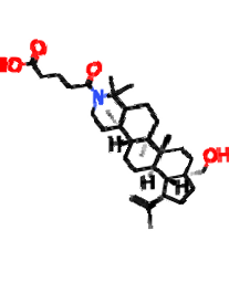 C=C(C)[C@@H]1CC[C@]2(CO)CC[C@]3(C)[C@H](CC[C@@H]4[C@@]5(C)CCN(C(=O)CCCC(=O)O)C(C)(C)C5CC[C@]43C)[C@@H]12